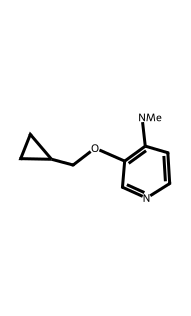 CNc1ccncc1OCC1CC1